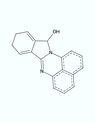 OC1C2=CCCC=C2C2=Nc3cccc4cccc(c34)N21